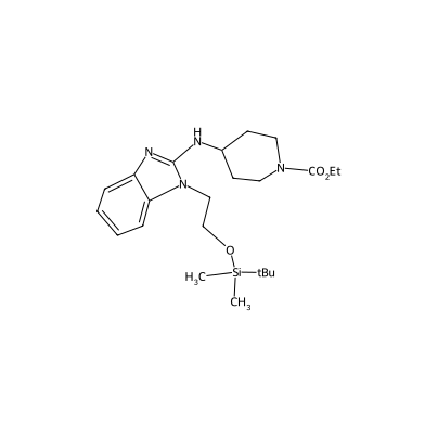 CCOC(=O)N1CCC(Nc2nc3ccccc3n2CCO[Si](C)(C)C(C)(C)C)CC1